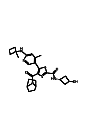 Cc1cc(NC2(C)CCC2)ncc1-c1sc(C(=O)N[C@H]2C[C@H](O)C2)nc1C(=O)N1C2CCC1CC2